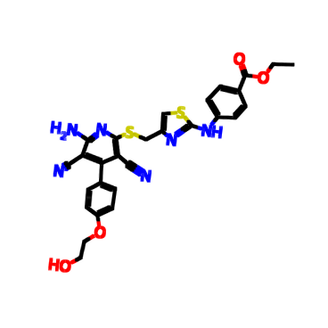 CCOC(=O)c1ccc(Nc2nc(CSc3nc(N)c(C#N)c(-c4ccc(OCCO)cc4)c3C#N)cs2)cc1